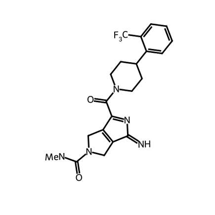 CNC(=O)N1CC2=C(C1)C(C(=O)N1CCC(c3ccccc3C(F)(F)F)CC1)=NC2=N